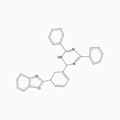 C1=CC(c2nc3ccccc3o2)CC(C2N=C(c3ccccc3)N=C(c3ccccc3)N2)=C1